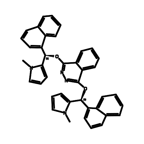 Cn1cccc1[C@@H](Oc1nnc(O[C@@H](c2cccc3ccccc23)c2cccn2C)c2ccccc12)c1cccc2ccccc12